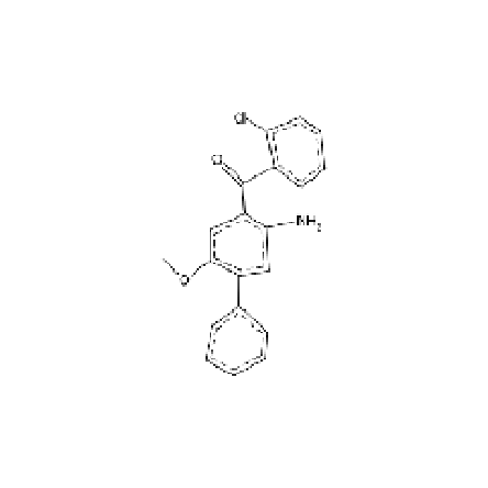 COc1cc(C(=O)c2ccccc2Cl)c(N)cc1-c1ccccc1